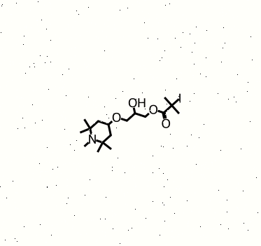 CN1C(C)(C)CC(OCC(O)COC(=O)C(C)(C)I)CC1(C)C